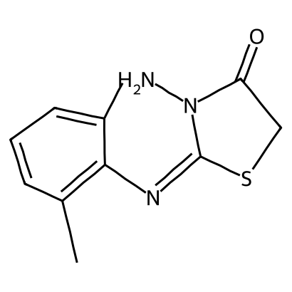 Cc1cccc(C)c1/N=C1/SCC(=O)N1N